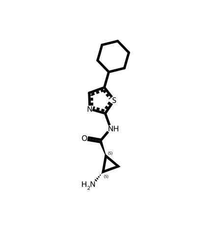 N[C@H]1C[C@@H]1C(=O)Nc1ncc(C2CCCCC2)s1